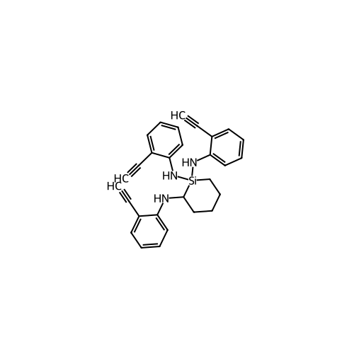 C#Cc1ccccc1NC1CCCC[Si]1(Nc1ccccc1C#C)Nc1ccccc1C#C